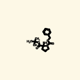 CC(C)(C)OC(=O)C1(N)CCCN1C(=O)OCc1ccccc1